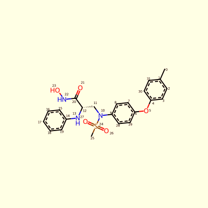 Cc1ccc(Oc2ccc(N(C[C@H](Nc3ccccc3)C(=O)NO)S(C)(=O)=O)cc2)cc1